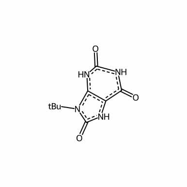 CC(C)(C)n1c(=O)[nH]c2c(=O)[nH]c(=O)[nH]c21